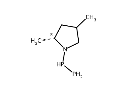 CC1C[C@@H](C)N(PP)C1